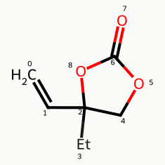 C=CC1(CC)COC(=O)O1